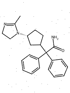 CC1=NCCN1[C@@H]1CCC(C(C(N)=O)(c2ccccc2)c2ccccc2)C1